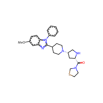 COc1ccc2c(c1)nc(C1CCN([C@@H]3CN[C@H](C(=O)N4CCSC4)C3)CC1)n2-c1ccccc1